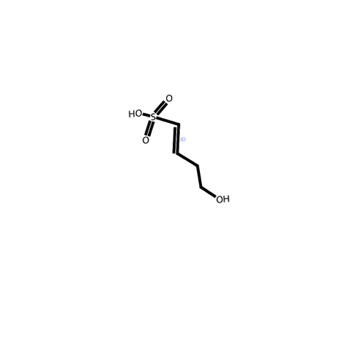 O=S(=O)(O)/C=C/CCO